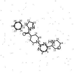 O=C(C1CCN(c2nccc(C3COCCN3)n2)CC1)N1N=CC[C@H]1c1ccccc1